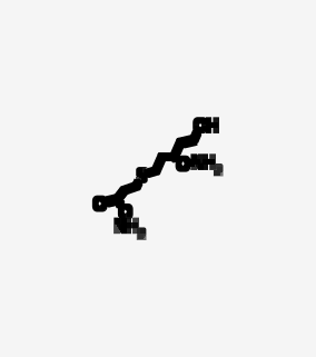 NOC(=O)CCSCCC(C=CO)ON